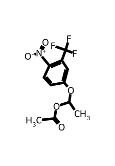 CC(=O)OC(C)Oc1ccc([N+](=O)[O-])c(C(F)(F)F)c1